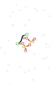 ClCCCl.O=[PH](O)O[PH](=O)O